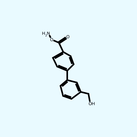 NOC(=O)c1ccc(-c2cccc(CO)c2)cc1